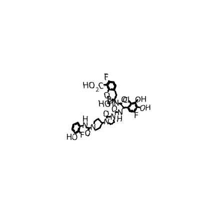 O=C(O)c1c(F)ccc2c1OB(O)[C@@H](NC(=O)C(NC(=O)N1CCN(C3CCN(C(=O)Nc4cccc(O)c4F)CC3)C1=O)c1cc(F)c(O)c(O)c1Cl)C2